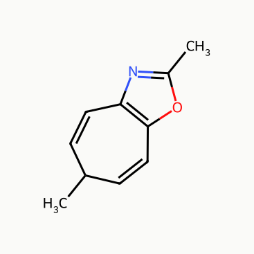 Cc1nc2c(o1)C=CC(C)C=C2